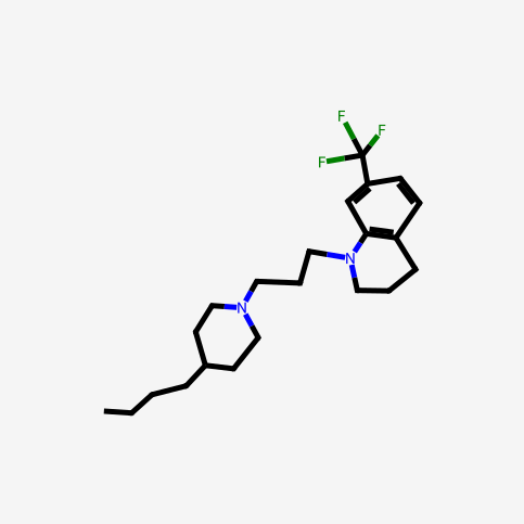 CCCCC1CCN(CCCN2CCCc3ccc(C(F)(F)F)cc32)CC1